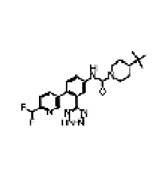 CC(C)(C)C1CCN(C(=O)Nc2ccc(-c3ccc(C(F)F)nc3)c(-c3nn[nH]n3)c2)CC1